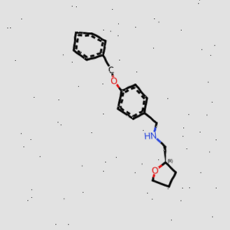 c1ccc(COc2ccc(CNC[C@H]3CCCO3)cc2)cc1